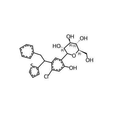 OC[C@H]1OC(c2cc(C(Cc3ccccc3)c3cccs3)c(Cl)cc2O)[C@H](O)[C@@H](O)[C@@H]1O